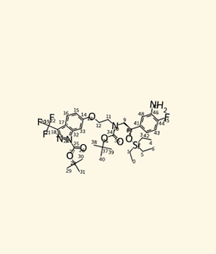 CC[Si](CC)(CC)O[C@@H](CN(CCOc1ccc2c(C(F)(F)F)nn(C(=O)OC(C)(C)C)c2c1)C(=O)OC(C)(C)C)c1ccc(F)c(N)c1